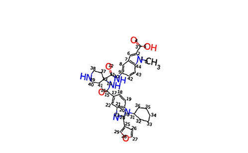 Cn1c(C(=O)O)cc2cc(NC(=O)C3(NC(=O)c4ccc5c(c4)nc(-c4ccoc4)n5C4CCCCC4)CCNCC3)ccc21